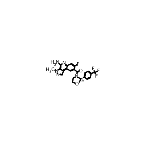 Cn1ncc2c3cc(C(=O)N4CCOC[C@@H]4c4ccc(C(F)(F)F)cc4)c(F)cc3nc(N)c21